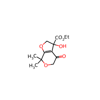 CCOC(=O)C1(O)COC2=C1C(=O)COC2(C)C